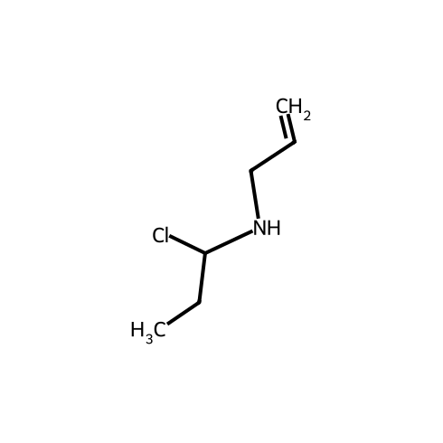 C=CCNC(Cl)CC